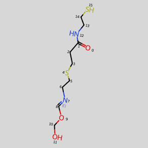 O=C(CCSCC/N=C/OCO)NCCS